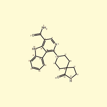 NC(=O)c1cnc(N2CCC3(CCNC3=O)CC2)c2c1[nH]c1ccccc12